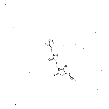 CNCCNC(=O)CCN1C(=O)CC(SC)C1O